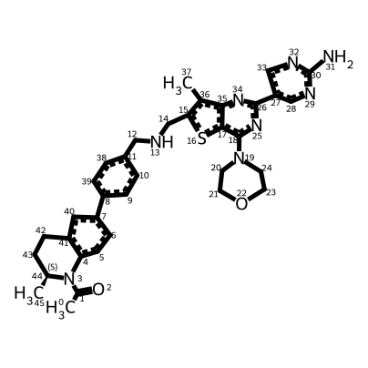 CC(=O)N1c2ccc(-c3ccc(CNCc4sc5c(N6CCOCC6)nc(-c6cnc(N)nc6)nc5c4C)cc3)cc2CC[C@@H]1C